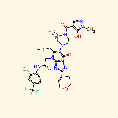 CCc1c(N2CCN(C(=O)c3cnn(C)c3O)[C@H](C)C2)c(=O)n2nc(C3=CCOCC3)nc2n1CC(=O)Nc1ccc(C(F)(F)F)cc1Cl